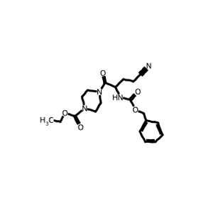 CCOC(=O)N1CCN(C(=O)C(CCC#N)NC(=O)OCc2ccccc2)CC1